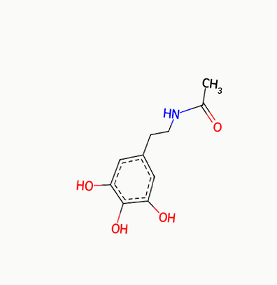 CC(=O)NCCc1cc(O)c(O)c(O)c1